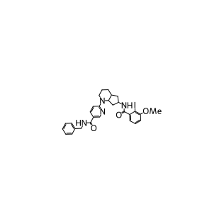 COc1cccc(C(=O)NC2CC3CCCN(c4ccc(C(=O)NCc5ccccc5)cn4)C3C2)c1I